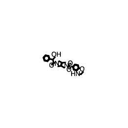 O=C(C(CO)c1ccccc1)N1CC2=C(C1)CN(S(=O)(=O)c1ccc3c(c1)NCCO3)C2